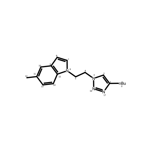 CCCCc1cn(CCn2ccc3cc(C)ccc32)nn1